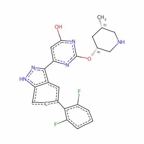 C[C@@H]1CNC[C@H](Oc2nc(O)cc(-c3n[nH]c4ccc(-c5c(F)cccc5F)cc34)n2)C1